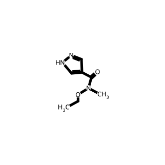 CCON(C)C(=O)c1cn[nH]c1